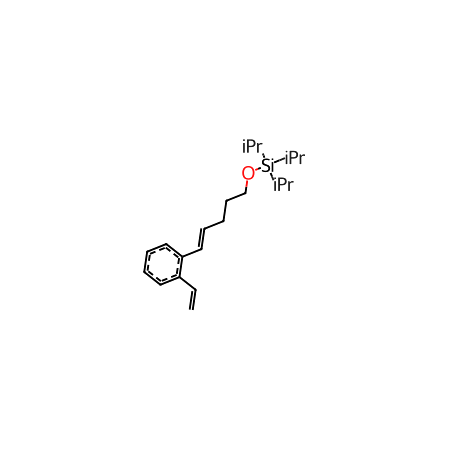 C=Cc1ccccc1C=CCCCO[Si](C(C)C)(C(C)C)C(C)C